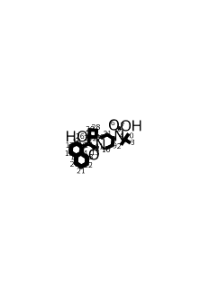 CC(C)(C)N(C(=O)O)C1CCN(C(=O)C(c2cccc3ccccc23)C2(O)CCC2)CC1